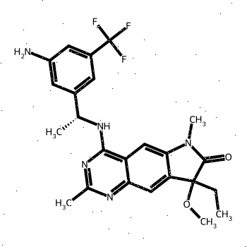 CCC1(OC)C(=O)N(C)c2cc3c(N[C@H](C)c4cc(N)cc(C(F)(F)F)c4)nc(C)nc3cc21